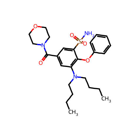 CCCCN(CCCC)c1cc(C(=O)N2CCOCC2)cc(S(N)(=O)=O)c1Oc1ccccc1